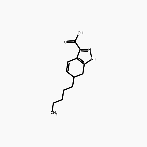 CCCCCC1C=Cc2c(C(=O)O)n[nH]c2C1